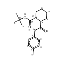 Cc1ccc(SC(=O)C2CCCCN2C(=O)OC(C)(C)C)cc1